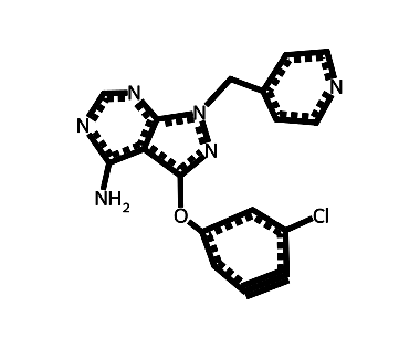 Nc1ncnc2c1c(Oc1cc#cc(Cl)c1)nn2Cc1ccncc1